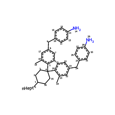 CCCCCCCC1CCC(c2ccc(Cc3ccc(N)cc3)cc2C)(c2ccc(Cc3ccc(N)cc3)cc2C)CC1